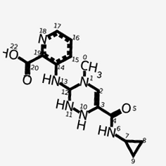 CN1C=C(C(=O)NC2CC2)NNC1Nc1cccnc1C(=O)O